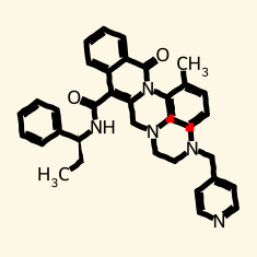 CC[C@H](NC(=O)c1c(CN2CCN(Cc3ccncc3)CC2)n(-c2ccccc2C)c(=O)c2ccccc12)c1ccccc1